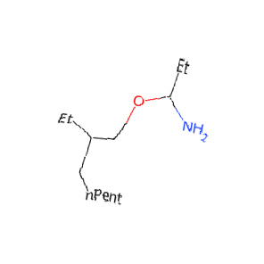 CCCCCCC(CC)COC(N)CC